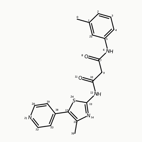 Cc1cccc(NC(=O)CC(=O)Nc2nc(C)c(-c3ccncc3)s2)c1